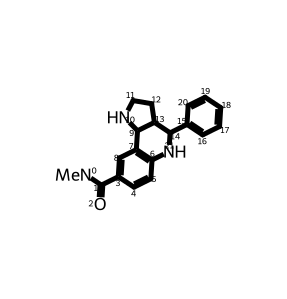 CNC(=O)c1ccc2c(c1)C1NCCC1C(c1ccccc1)N2